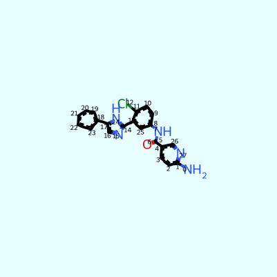 Nc1ccc(C(=O)Nc2ccc(Cl)c(-c3ncc(-c4ccccc4)[nH]3)c2)cn1